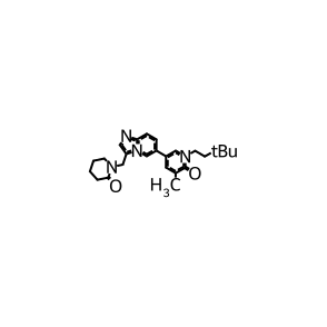 Cc1cc(-c2ccc3ncc(CN4CCCCC4=O)n3c2)cn(CCC(C)(C)C)c1=O